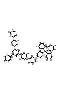 c1ccc(-c2ccc(-c3cc(-c4ccccc4)nc(-c4ccc(-c5cccc(-c6ccc7c(c6)-c6ccccc6C76c7ccccc7-c7ccccc76)c5)cc4)n3)cc2)cc1